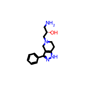 NC[C@H](O)CN1CCc2[nH]nc(-c3ccccc3)c2C1